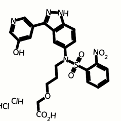 Cl.Cl.O=C(O)COCCCN(c1ccc2[nH]nc(-c3cncc(O)c3)c2c1)S(=O)(=O)c1ccccc1[N+](=O)[O-]